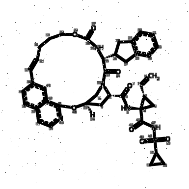 C=C[C@@H]1C[C@]1(NC(=O)[C@@H]1C[C@@H]2CN1C(=O)[C@@H](C1Cc3ccccc3C1)NC(=O)OCCC/C=C/c1ccc3ccnc(c3c1)O2)C(=O)NS(=O)(=O)C1CC1